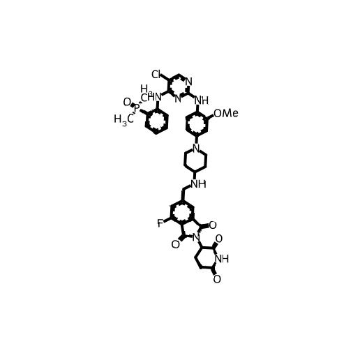 COc1cc(N2CCC(NCc3cc(F)c4c(c3)C(=O)N(C3CCC(=O)NC3=O)C4=O)CC2)ccc1Nc1ncc(Cl)c(Nc2ccccc2P(C)(C)=O)n1